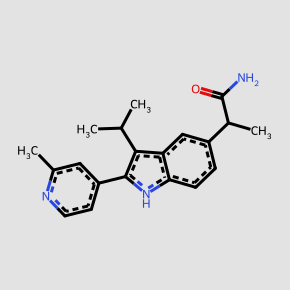 Cc1cc(-c2[nH]c3ccc(C(C)C(N)=O)cc3c2C(C)C)ccn1